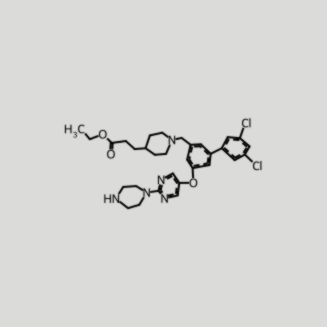 CCOC(=O)CCC1CCN(Cc2cc(Oc3cnc(N4CCNCC4)nc3)cc(-c3cc(Cl)cc(Cl)c3)c2)CC1